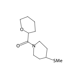 CSC1CCN(C(=O)C2CCCCO2)CC1